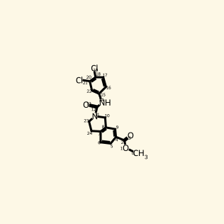 COC(=O)c1ccc2c(c1)CN(C(=O)Nc1ccc(Cl)c(Cl)c1)CC2